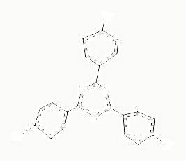 Clc1ccc(-c2nc(-c3ccc(Br)cc3)nc(-c3ccc(Br)cc3)n2)cc1